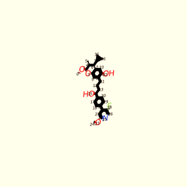 COC(=O)[C@@H](C)[C@H](c1ccc(CCCC(O)c2ccc(-c3cc(OC)ncc3F)cc2)c(O)c1)C1CC1